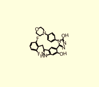 Oc1cc2[nH]nc(Cc3c(F)cccc3F)c2cc1-c1nnc(O)n1-c1ccc(N2CCOCC2)cc1